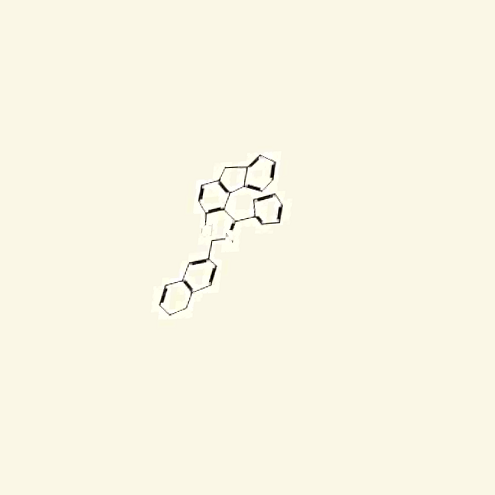 Clc1ccc2c(c1/C(=N\Cc1ccc3c(c1)C=CCC3)c1ccccc1)-c1ccccc1C2